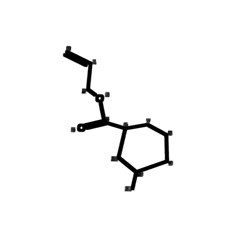 C=CCOC(=O)C1CCCC(C)C1